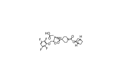 O=C(O)C[C@H](NC(=O)C1CCN(C(=O)O[C@@H]2C[C@H]3CC[C@@H]2C3)CC1)C(=O)COc1c(F)c(F)cc(F)c1F